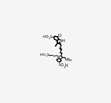 C=c1\c(=C/C=C/C=C/C2=[N+](CCCCS(=O)(=O)O)c3ccc(S(=O)(=O)O)cc3/C2=C\CCCC)[nH]c2c(Cl)cc(S(=O)(=O)O)cc12